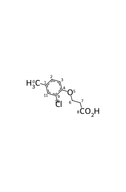 Cc1ccc(OCCC(=O)O)c(Cl)c1